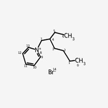 CCCCC(CC)C[n+]1ccccc1.[Br-]